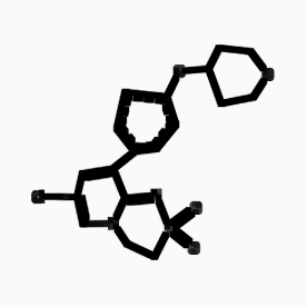 O=S1(=O)CCN2C=C(Cl)C=C(c3ccc(OC4CCOCC4)cc3)C2=N1